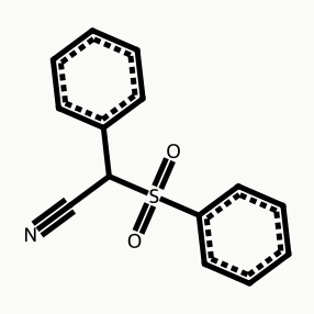 N#CC(c1ccccc1)S(=O)(=O)c1ccccc1